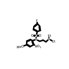 CCN(CC)CCCN(c1ccc(OC)cc1[N+](=O)[O-])S(=O)(=O)c1ccc(F)cc1